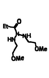 [CH2]CC(=O)N(NCCOC)NCCOC